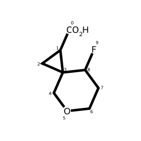 O=C(O)C1CC12COCCC2F